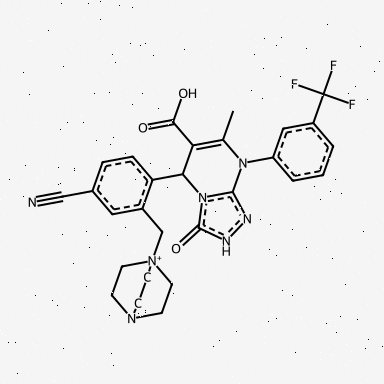 CC1=C(C(=O)O)C(c2ccc(C#N)cc2C[N+]23CCN(CC2)CC3)n2c(n[nH]c2=O)N1c1cccc(C(F)(F)F)c1